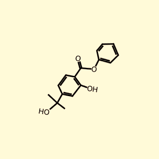 CC(C)(O)c1ccc(C(=O)Oc2ccccc2)c(O)c1